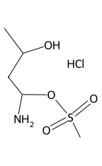 CC(O)CC(N)OS(C)(=O)=O.Cl